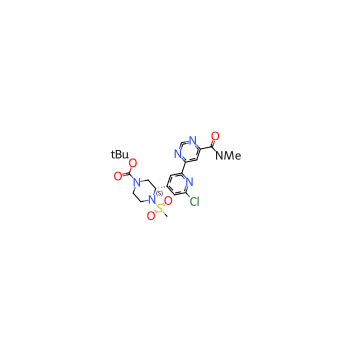 CNC(=O)c1cc(-c2cc([C@H]3CN(C(=O)OC(C)(C)C)CCN3S(C)(=O)=O)cc(Cl)n2)ncn1